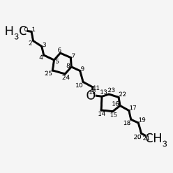 CCCCCC1CCC(CCCOC2CCC(CCCCC)CC2)CC1